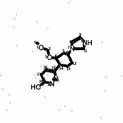 COCOC1CC(N2C=CNC2)CCC1C1=CCC(O)N=N1